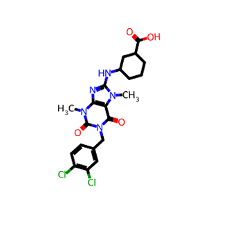 Cn1c(NC2CCCC(C(=O)O)C2)nc2c1c(=O)n(Cc1ccc(Cl)c(Cl)c1)c(=O)n2C